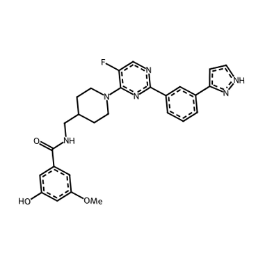 COc1cc(O)cc(C(=O)NCC2CCN(c3nc(-c4cccc(-c5cc[nH]n5)c4)ncc3F)CC2)c1